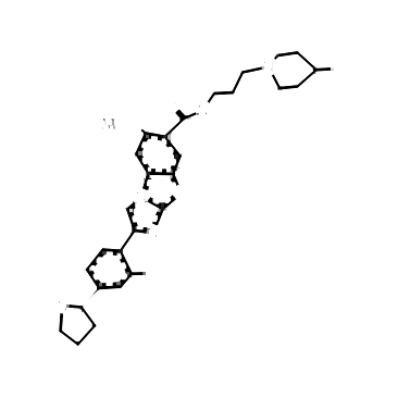 COc1cc2c(cc1C(=O)NCCCN1CCC(F)CC1)sc1nc(-c3ccc([C@H]4CCCN4)cc3F)cn12.Cl.Cl